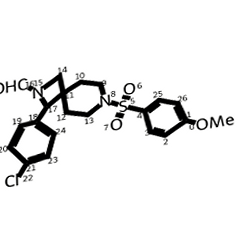 COc1ccc(S(=O)(=O)N2CCC3(CC2)CN(C=O)C3c2ccc(Cl)cc2)cc1